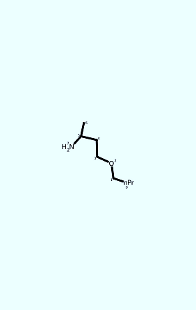 CCCCOCCC(C)N